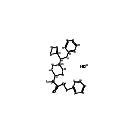 CN(C(=O)OCc1ccccc1)C1CCN(C(Cc2ccccc2)C2=CCC2)CC1.Cl